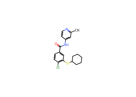 N#Cc1cc(NC(=O)c2ccc(Cl)c(SC3CCCCC3)c2)ccn1